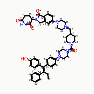 CC/C(=C(/c1ccc(O)cc1)c1ccc(N2CCN(C(=O)N3CCC(CN4CCN(c5ccc6c(c5)CN(C5CCC(=O)NC5=O)C6=O)CC4)CC3)CC2)cc1)c1ccccc1